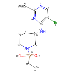 CSc1ncc(Br)c(N[C@H]2CCCN(S(=O)(=O)CC(C)C)C2)n1